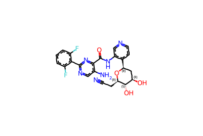 N#CC[C@H]1O[C@@H](c2ccncc2NC(=O)c2nc(-c3c(F)cccc3F)ncc2N)C[C@@H](O)[C@@H]1O